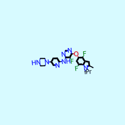 Cc1cc2c(F)c(Oc3ncnc(Nc4ccc(N5CCNCC5)cn4)c3F)cc(F)c2n1C(C)C